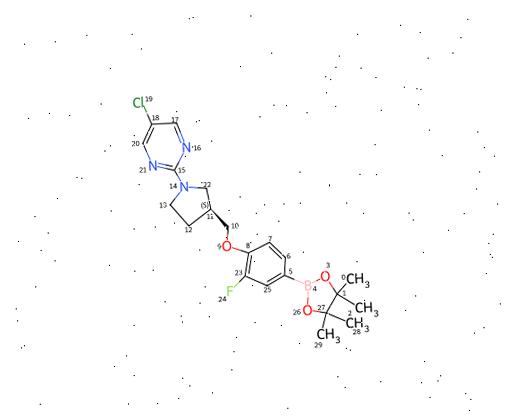 CC1(C)OB(c2ccc(OC[C@H]3CCN(c4ncc(Cl)cn4)C3)c(F)c2)OC1(C)C